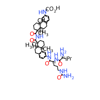 CC(C)[C@H](N)C(=O)N[C@@H](CCCNC(N)=O)C(=O)Nc1ccc2c(c1)[C@@]1(C)CCC[C@](C)(C(=O)NC(=O)[C@@]3(C)CCC[C@]4(C)c5cc(NC(=O)O)ccc5CC[C@@H]34)[C@@H]1CC2